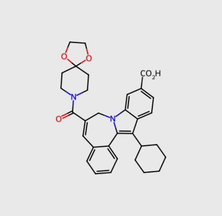 O=C(O)c1ccc2c(C3CCCCC3)c3n(c2c1)CC(C(=O)N1CCC2(CC1)OCCO2)=Cc1ccccc1-3